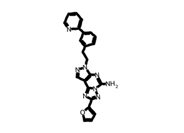 Nc1nc2c(cnn2CCc2cccc(-c3ccccn3)c2)c2nc(-c3ccco3)nn12